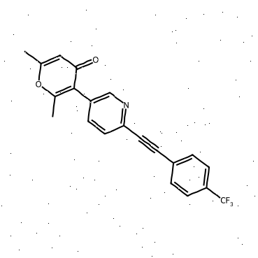 Cc1cc(=O)c(-c2ccc(C#Cc3ccc(C(F)(F)F)cc3)nc2)c(C)o1